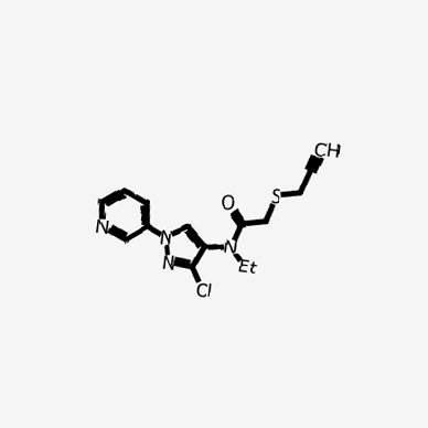 C#CCSCC(=O)N(CC)c1cn(-c2cccnc2)nc1Cl